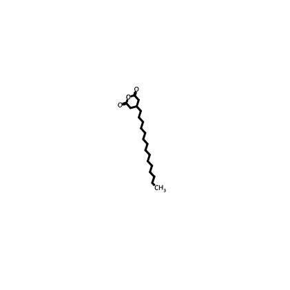 CCCCCCCCCCCCCCCC1CC(=O)OC(=O)C1